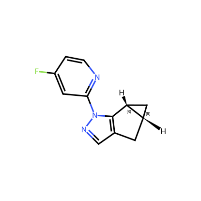 Fc1ccnc(-n2ncc3c2[C@@H]2C[C@@H]2C3)c1